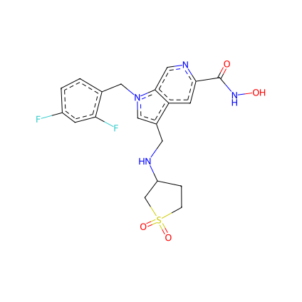 O=C(NO)c1cc2c(CNC3CCS(=O)(=O)C3)cn(Cc3ccc(F)cc3F)c2cn1